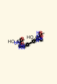 C[C@H]1CC([C@](C)(NC(=O)O)C(=O)N2CCCC2c2nc(-c3ccc(C#Cc4ccc(-c5c[nH]c(C6CCCN6C(=O)C(NC(=O)O)C6CCOCC6)n5)cc4)cc3)c[nH]2)CCO1